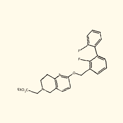 CCOC(=O)CN1CCc2nc(OCc3cccc(-c4ccccc4F)c3F)ccc2C1